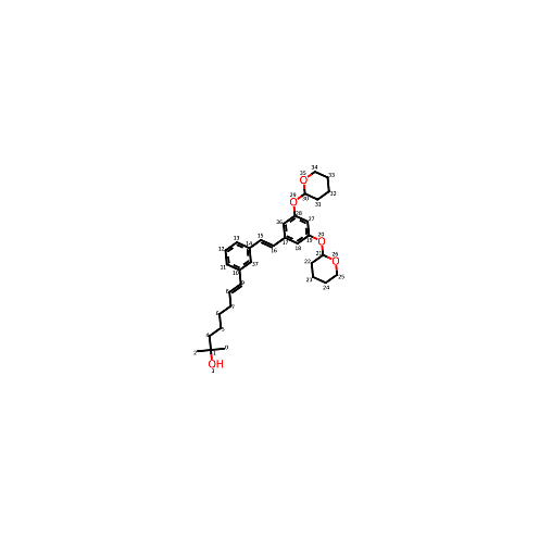 CC(C)(O)CCCCC=Cc1cccc(C=Cc2cc(OC3CCCCO3)cc(OC3CCCCO3)c2)c1